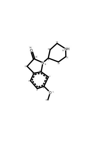 COc1ccc2c(c1)N(C1CCNCC1)C(=O)C2